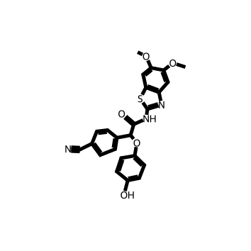 COc1cc2nc(NC(=O)C(Oc3ccc(O)cc3)c3ccc(C#N)cc3)sc2cc1OC